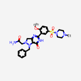 CCCOc1ccc(S(=O)(=O)N2CCN(CC)CC2)cc1-c1nc2c(c(=O)[nH]1)N(Cc1ccccc1)N(CC(N)=O)C2